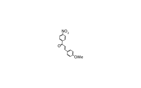 COc1ccc(C=CC(=O)c2ccc([N+](=O)[O-])cc2)cc1